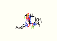 COc1ccc2ncc(O[C@@H]3C[C@H]4C(=O)N[C@]5(C(=O)NS(=O)(=O)C6(CF)CC6)C[C@H]5C=CCC[C@@H](C)C[C@@H](C)[C@H](NCC(F)F)C(=O)N4C3)nc2c1